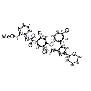 COCn1nccc/c1=N\S(=O)(=O)c1cc(Cl)c(Oc2ccc(Cl)cc2-c2cn(C3CCCCO3)nc2[N+](=O)[O-])cc1F